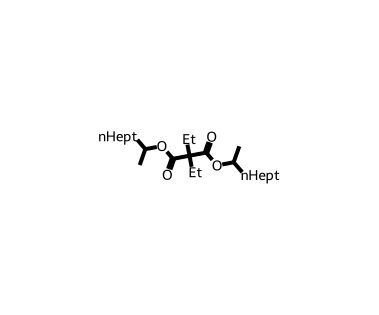 CCCCCCCC(C)OC(=O)C(CC)(CC)C(=O)OC(C)CCCCCCC